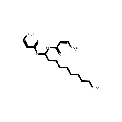 CCCCCCCCCCCCCCCCCCC(NC(=O)/C=C\C(=O)O)NC(=O)/C=C\C(=O)O